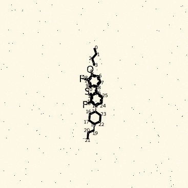 CCCCOc1ccc2c(sc3c(F)c([C@H]4CC[C@H](CCC)CC4)ccc32)c1F